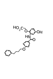 O=C(O)COc1ccc(O)cc1NC(=O)c1ccc(OCCCCc2ccccc2)cc1